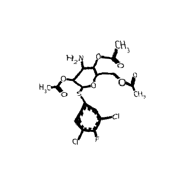 CC(=O)OCC1OC(Sc2cc(Cl)c(F)c(Cl)c2)C(OC(C)=O)C(N)C1OC(C)=O